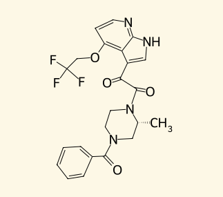 C[C@@H]1CN(C(=O)c2ccccc2)CCN1C(=O)C(=O)c1c[nH]c2nccc(OCC(F)(F)F)c12